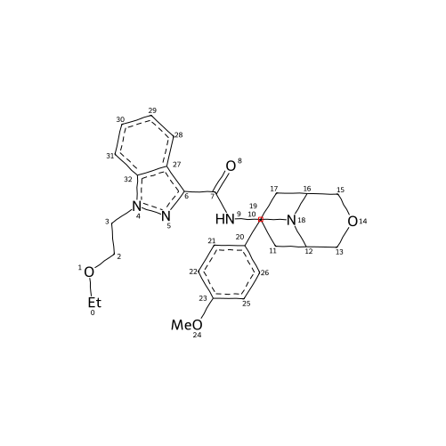 CCOCCn1nc(C(=O)NC2CC3COCC(C2)N3Cc2ccc(OC)cc2)c2ccccc21